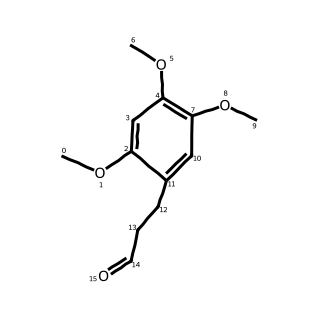 COc1cc(OC)c(OC)cc1CCC=O